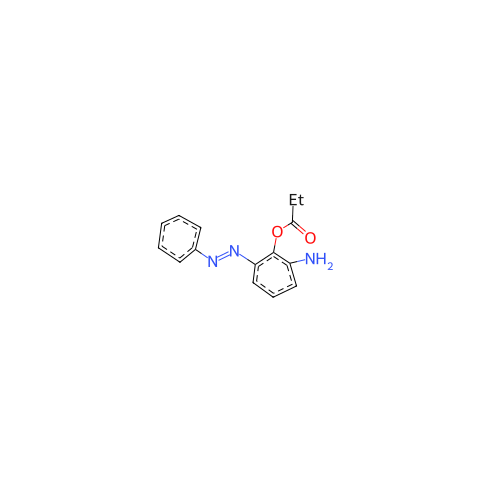 CCC(=O)Oc1c(N)cccc1N=Nc1ccccc1